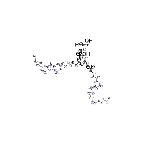 CCCCC/C=C\C/C=C\C/C=C\C/C=C\CCCCCC(=O)OC[C@H](COP(=O)(O)OC[C@@H](O)CO)OC(=O)CCCCC/C=C\C/C=C\C/C=C\C/C=C\CCCCC